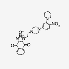 O=C1c2ccccc2C(=O)c2c1n[n+]([O-])n2CCN1CCN(c2ccc([N+](=O)[O-])c(N3CCCCC3)c2)CC1